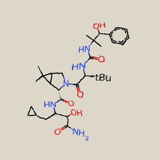 CC(C)(NC(=O)N[C@H](C(=O)N1CC2C([C@H]1C(=O)NC(CC1CC1)C(O)C(N)=O)C2(C)C)C(C)(C)C)C(O)c1ccccc1